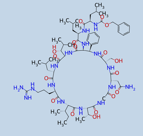 CC[C@H](C)[C@@H]1NC(=O)[C@@H](CCCNC(=N)N)NC(=O)[C@H](CC(C)C)NC(=O)[C@H]([C@H](O)C(C)C)NC(=O)[C@@H](NC(=O)[C@@H](CC(C)C)NC(=O)[C@@H](CC(C)C)NC(=O)OCc2ccccc2)[C@@H](c2ccccc2)NC(=O)[C@H](CO)NC(=O)[C@H](CC(N)=O)NC(=O)CNC(=O)[C@H]([C@@H](C)O)NC1=O